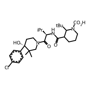 CC(C)[C@@H](NC(=O)C1CCCN(C(=O)O)C1C(C)(C)C)C(=O)N1CC[C@](O)(c2ccc(Cl)cc2)C(C)(C)C1